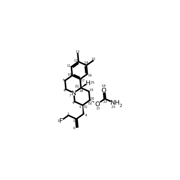 C=C(CF)C[C@H]1CN2CCc3cc(C)c(C)cc3[C@@H]2C[C@@H]1OC(N)=O